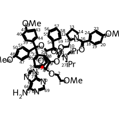 COCCO[C@@H]1[C@H](OP(=O)(OC[C@H]2CCCN2C(=O)c2ccc(OC)cc2)N(C(C)C)C(C)C)[C@@H](C(OC(c2ccccc2)(c2ccc(OC)cc2)c2ccc(OC)cc2)C(=O)c2ccccc2)O[C@H]1n1cnc2c(N)ncnc21